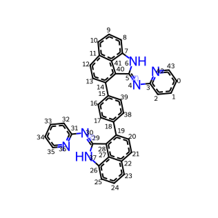 c1ccc(/N=C2\Nc3cccc4ccc(-c5ccc(-c6ccc7cccc8c7c6/C(=N/c6ccccn6)N8)cc5)c2c34)nc1